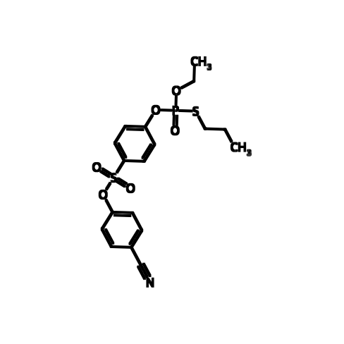 CCCSP(=O)(OCC)Oc1ccc(S(=O)(=O)Oc2ccc(C#N)cc2)cc1